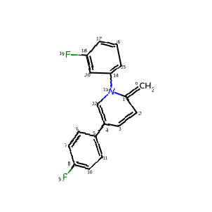 C=C1C=CC(c2ccc(F)cc2)=CN1c1cccc(F)c1